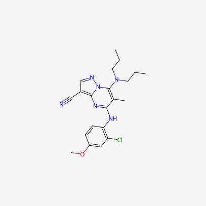 CCCN(CCC)c1c(C)c(Nc2ccc(OC)cc2Cl)nc2c(C#N)cnn12